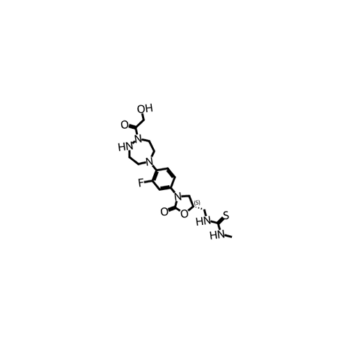 CNC(=S)NC[C@H]1CN(c2ccc(N3CCNN(C(=O)CO)CC3)c(F)c2)C(=O)O1